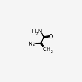 C=[C]([Na])C(N)=O